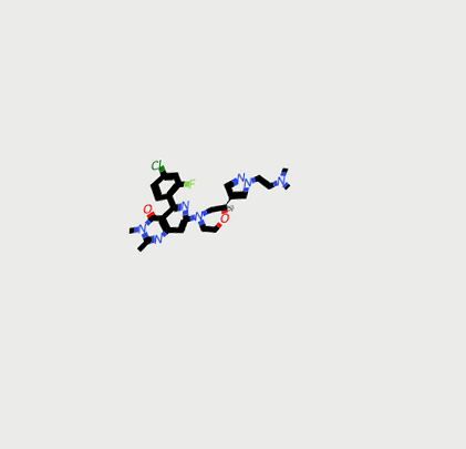 Cc1nc2cc(N3CCO[C@@H](c4cnn(CCN(C)C)c4)C3)nc(-c3ccc(Cl)cc3F)c2c(=O)n1C